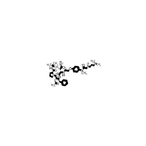 CC(=O)O[C@H](C(=O)N1CCC[C@H]1C(=O)NC(C)(C)C)[C@H](Cc1ccccc1)NC(=O)[C@H](CC(N)=O)NC(=O)COc1ccc(N(C)C(=O)CNCCCN(C)C)cc1